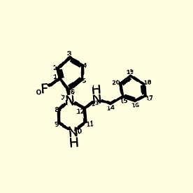 Fc1ccccc1N1CCNCC1NCc1ccccc1